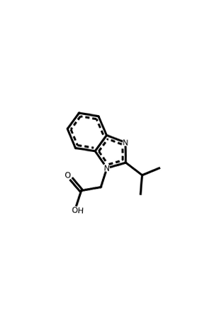 CC(C)c1nc2ccccc2n1CC(=O)O